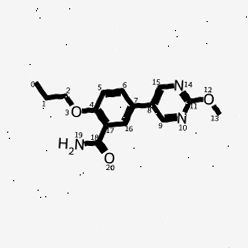 CCCOc1ccc(-c2cnc(OC)nc2)cc1C(N)=O